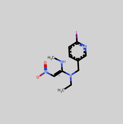 CCN(Cc1ccc(I)nc1)/C(=C/[N+](=O)[O-])NC